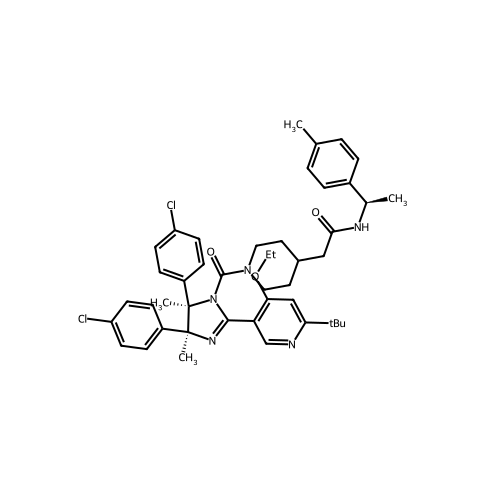 CCOc1cc(C(C)(C)C)ncc1C1=N[C@@](C)(c2ccc(Cl)cc2)[C@@](C)(c2ccc(Cl)cc2)N1C(=O)N1CCC(CC(=O)N[C@H](C)c2ccc(C)cc2)CC1